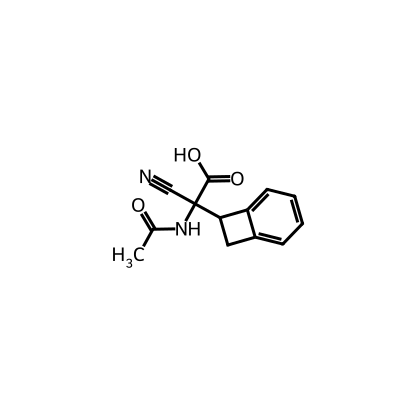 CC(=O)NC(C#N)(C(=O)O)C1Cc2ccccc21